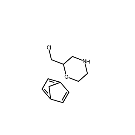 C1=CC2=CC=C1C2.ClCC1CNCCO1